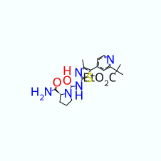 CCOC(=O)C(C)(C)c1cc(-c2sc(NC(O)N3CCC[C@H]3C(N)=O)nc2C)ccn1